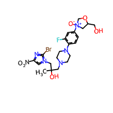 CC(O)(CN1CCN(c2ccc([N+]3([O-])COC(CO)C3)cc2F)CC1)Cn1cc([N+](=O)[O-])nc1Br